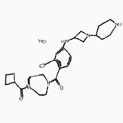 Cl.O=C(c1ccc(NC2CN(C3CCNCC3)C2)cc1Cl)N1CCN(C(=O)C2CCC2)CC1